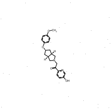 COc1ccc(O[C@H]2C[C@@H]3CN(CC(=O)c4ccc(O)cn4)C[C@@H]3C2)cc1